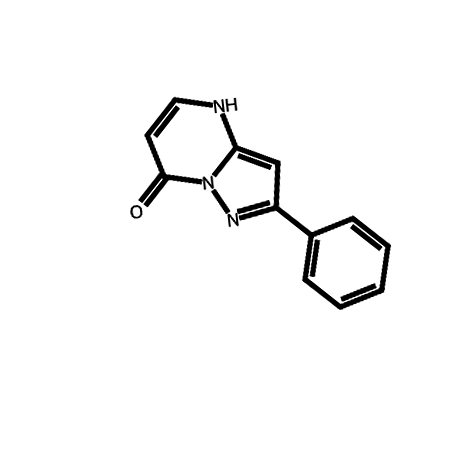 O=c1cc[nH]c2cc(-c3ccccc3)nn12